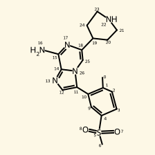 Cc1ccc(S(C)(=O)=O)cc1-c1cnc2c(N)nc(C3CCNCC3)cn12